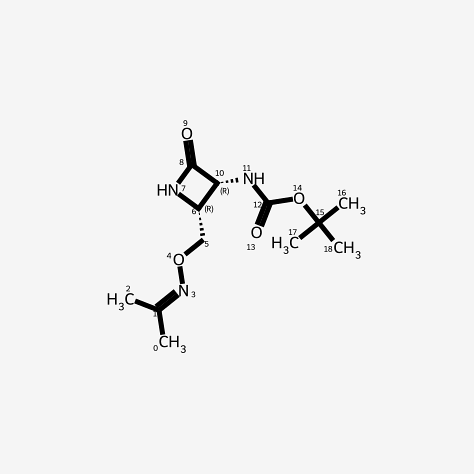 CC(C)=NOC[C@@H]1NC(=O)[C@@H]1NC(=O)OC(C)(C)C